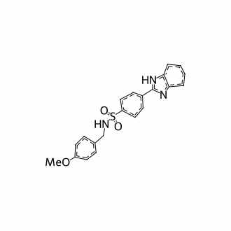 COc1ccc(CNS(=O)(=O)c2ccc(-c3nc4ccccc4[nH]3)cc2)cc1